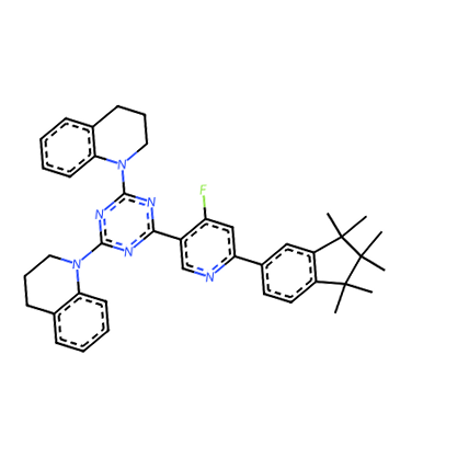 CC1(C)c2ccc(-c3cc(F)c(-c4nc(N5CCCc6ccccc65)nc(N5CCCc6ccccc65)n4)cn3)cc2C(C)(C)C1(C)C